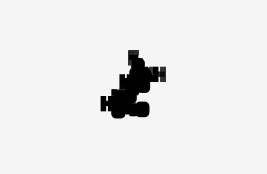 COc1ccc(CN2Cc3c(Oc4ccc(NC(=O)c5c[nH]cc(-c6ccc(F)cc6)c5=O)nc4)ccnc3NC2=O)cc1